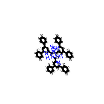 C1=C(C2=NC(c3cc(-c4ccccc4)cc(-c4ccccc4)n3)NC(C3=CC(c4ccccc4)=CC(c4ccccc4)N3)N2)NC(c2ccccc2)C=C1c1ccccc1